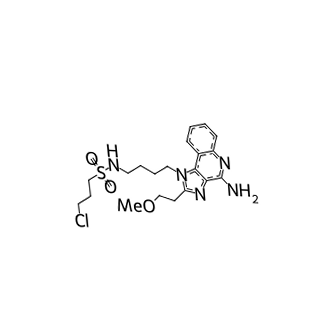 COCCc1nc2c(N)nc3ccccc3c2n1CCCCNS(=O)(=O)CCCCl